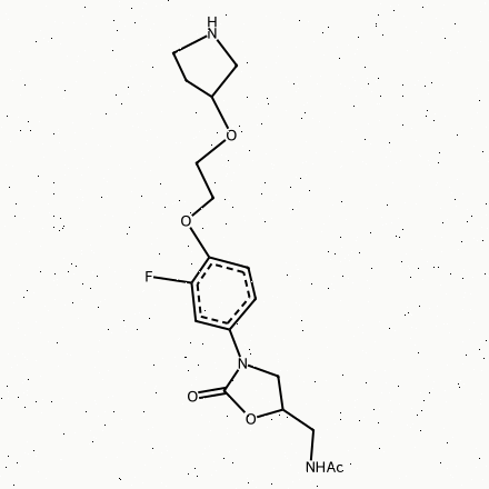 CC(=O)NCC1CN(c2ccc(OCCOC3CCNC3)c(F)c2)C(=O)O1